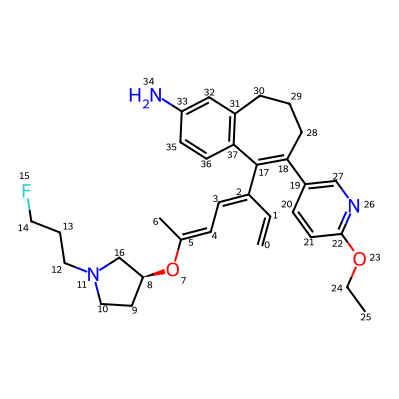 C=C/C(=C\C=C(/C)O[C@H]1CCN(CCCF)C1)C1=C(c2ccc(OCC)nc2)CCCc2cc(N)ccc21